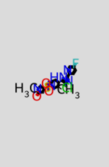 C[C@H]1CN(S(=O)(=O)C2CC(=O)N(C)C2)CC[C@H]1c1[nH]c(-c2ccc(F)cn2)nc1Cl